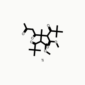 COC(=O)C(C(=O)C(C)(C)C)C(C)(C(=O)CC(C)=O)C(C(=O)OC)C(=O)C(C)(C)C.[Ti]